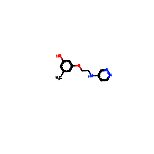 Cc1cc(O)cc(OCCNc2ccnnc2)c1